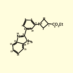 CCOC(=O)C1CN(c2cccc(-c3nc4ccccc4n3C)c2)C1